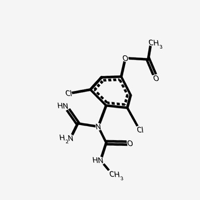 CNC(=O)N(C(=N)N)c1c(Cl)cc(OC(C)=O)cc1Cl